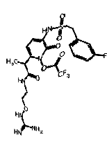 CC(C(=O)NCCONC(=N)N)c1ccc(NS(=O)(=O)Cc2cccc(F)c2)c(=O)n1OC(=O)C(F)(F)F